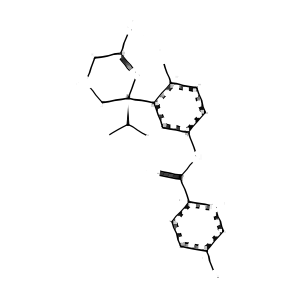 NC1=N[C@@](c2cc(NC(=O)c3ccc(Br)cn3)ccc2F)(C(F)F)COC1